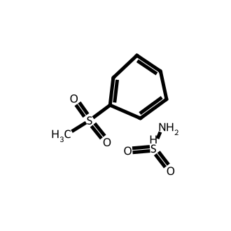 CS(=O)(=O)c1ccccc1.N[SH](=O)=O